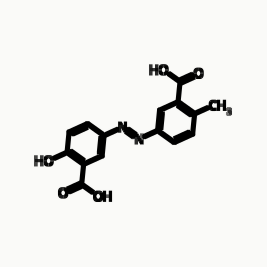 Cc1ccc(N=Nc2ccc(O)c(C(=O)O)c2)cc1C(=O)O